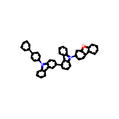 c1ccc(-c2ccc(-n3c4ccccc4c4cc(-c5cccc6c5c5ccccc5n6-c5ccc6c(c5)oc5ccccc56)ccc43)cc2)cc1